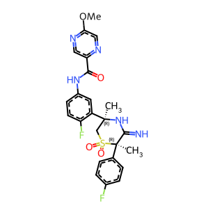 COc1cnc(C(=O)Nc2ccc(F)c([C@]3(C)CS(=O)(=O)[C@](C)(c4ccc(F)cc4)C(=N)N3)c2)cn1